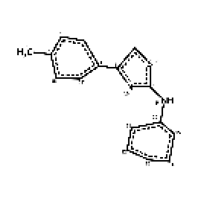 Cc1ccc(-c2csc(Nc3ccccc3)n2)cc1